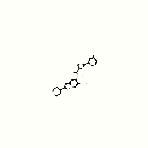 COc1cn2nc(C3CCNCC3)cc2cc1NC(=O)c1coc(-c2cccc(C(F)(F)F)c2)n1